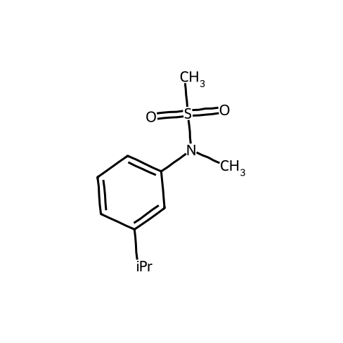 CC(C)c1cccc(N(C)S(C)(=O)=O)c1